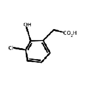 O=C(O)Cc1cccc(Cl)c1O